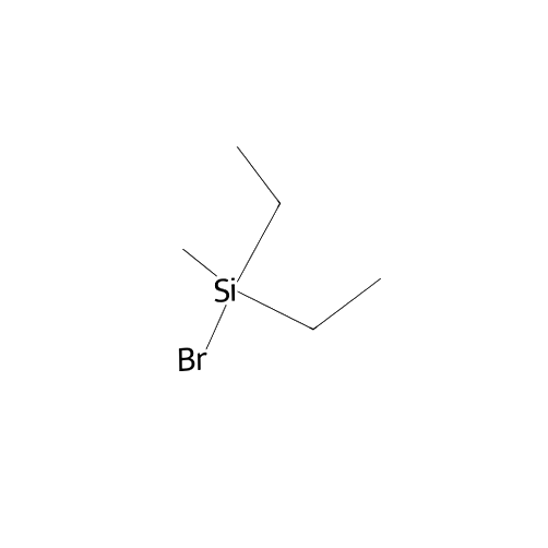 CC[Si](C)(Br)CC